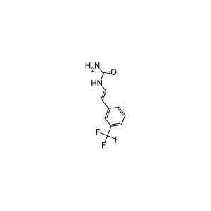 NC(=O)N/C=C/c1cccc(C(F)(F)F)c1